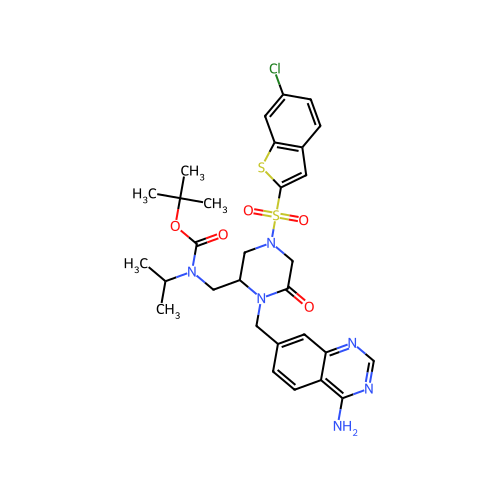 CC(C)N(CC1CN(S(=O)(=O)c2cc3ccc(Cl)cc3s2)CC(=O)N1Cc1ccc2c(N)ncnc2c1)C(=O)OC(C)(C)C